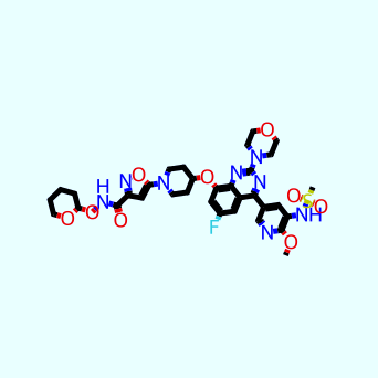 COc1ncc(-c2nc(N3CCOCC3)nc3c(OC4CCN(c5cc(C(=O)NOC6CCCCO6)no5)CC4)cc(F)cc23)cc1NS(C)(=O)=O